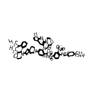 CC(C)c1ccccc1[C@@H]1COCCN1C1CC2(CCN(c3ccc(C(=O)NS(=O)(=O)c4ccc(NCC5CCC(C)(O)CC5)c([N+](=O)[O-])c4)c(N4C[C@@H]5COCCN5c5nc6[nH]ccc6cc54)c3)CC2)C1